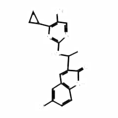 CC(Nc1ncc(C#N)c(C2CC2)n1)c1cc2cc(Cl)ccc2[nH]c1=O